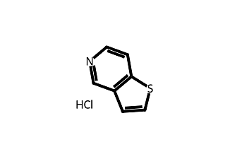 Cl.c1cc2sccc2cn1